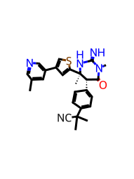 Cc1cncc(-c2csc([C@@]3(C)NC(=N)N(C)C(=O)[C@@H]3c3ccc(C(C)(C)C#N)cc3)c2)c1